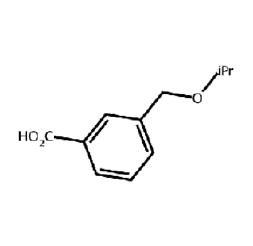 CC(C)OCc1cccc(C(=O)O)c1